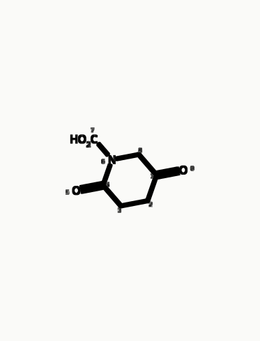 O=C1CCC(=O)N(C(=O)O)C1